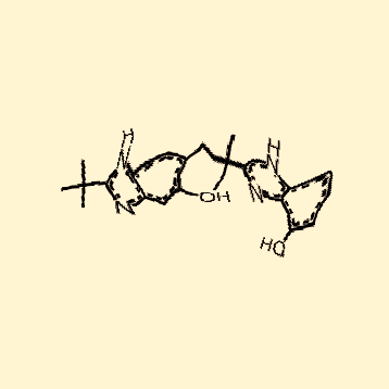 CC(C)(C)c1nc2cc(O)c(CC(C)(C)c3nc4c(O)cccc4[nH]3)cc2[nH]1